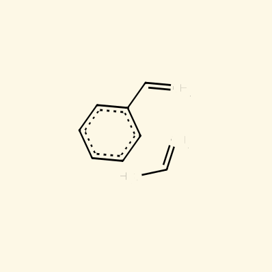 C=CC.C=Cc1ccccc1.[Ti]